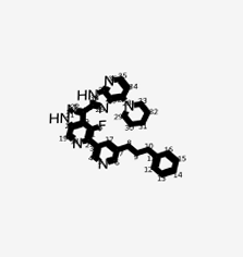 Fc1c(-c2cncc(CCCc3ccccc3)c2)ncc2[nH]nc(-c3nc4c(N5CCCCC5)ccnc4[nH]3)c12